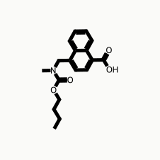 CCCCOC(=O)N(C)Cc1ccc(C(=O)O)c2ccccc12